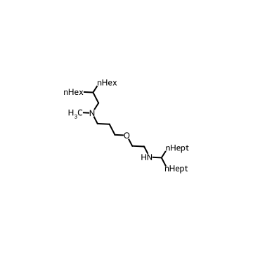 CCCCCCCC(CCCCCCC)NCCOCCCN(C)CC(CCCCCC)CCCCCC